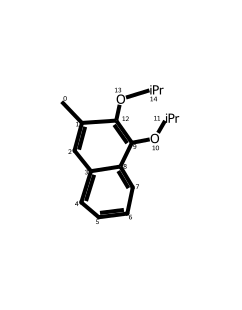 Cc1cc2ccccc2c(OC(C)C)c1OC(C)C